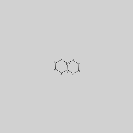 [C]1CCCN2CCCCC12